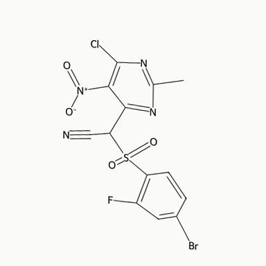 Cc1nc(Cl)c([N+](=O)[O-])c(C(C#N)S(=O)(=O)c2ccc(Br)cc2F)n1